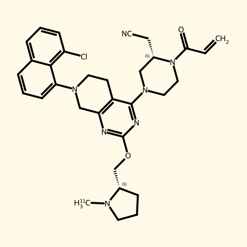 C=CC(=O)N1CCN(c2nc(OC[C@@H]3CCCN3[11CH3])nc3c2CCN(c2cccc4cccc(Cl)c24)C3)C[C@@H]1CC#N